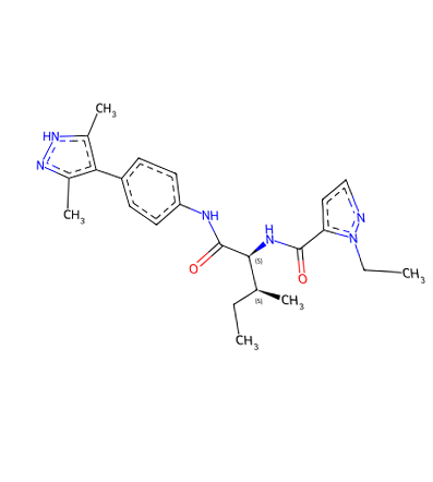 CC[C@H](C)[C@H](NC(=O)c1ccnn1CC)C(=O)Nc1ccc(-c2c(C)n[nH]c2C)cc1